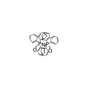 O=C[P]([Ni][P](C=O)(c1ccccc1)(c1ccccc1)c1ccccc1)(c1ccccc1)(c1ccccc1)c1ccccc1